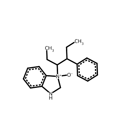 CCC(c1ccccc1)C(CC)[N+]1([O-])CNc2ccccc21